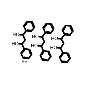 OC(CC(O)c1ccccc1)c1ccccc1.OC(CC(O)c1ccccc1)c1ccccc1.OC(CC(O)c1ccccc1)c1ccccc1.[Fe]